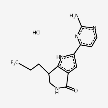 Cl.Nc1nccc(-c2cc3c([nH]2)C(CCC(F)(F)F)CNC3=O)n1